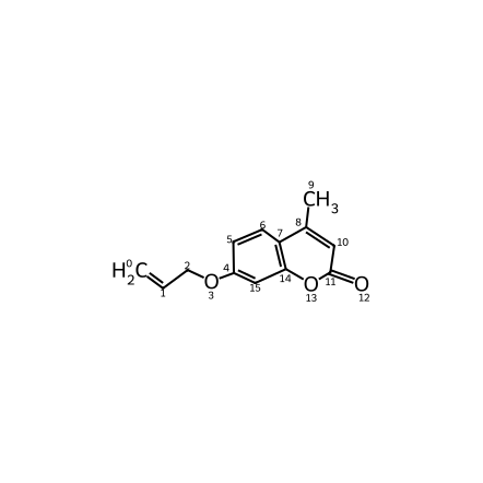 C=CCOc1ccc2c(C)cc(=O)oc2c1